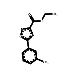 CCOC(=O)c1noc(-c2cccc(C)c2)n1